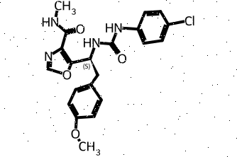 CNC(=O)c1ncoc1[C@H](Cc1ccc(OC)cc1)NC(=O)Nc1ccc(Cl)cc1